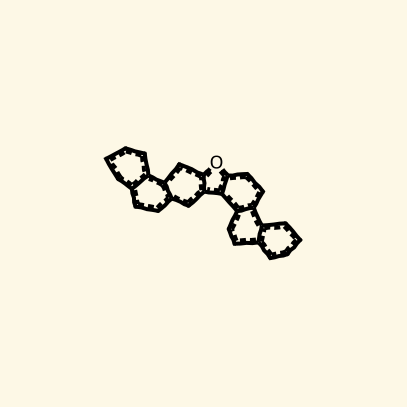 c1ccc2c(c1)ccc1cc3c(cc12)oc1ccc2c4ccccc4ccc2c13